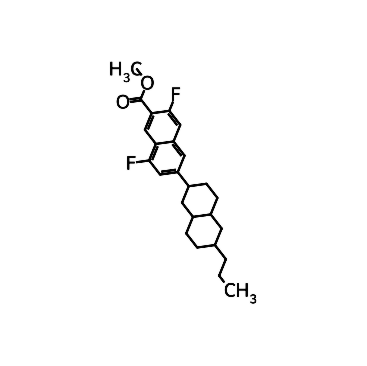 CCCC1CCC2CC(c3cc(F)c4cc(C(=O)OC)c(F)cc4c3)CCC2C1